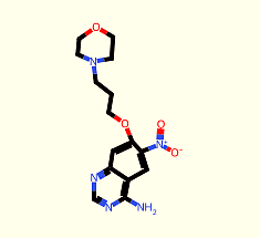 Nc1ncnc2cc(OCCCN3CCOCC3)c([N+](=O)[O-])cc12